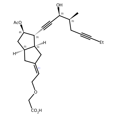 CCC#CC[C@H](C)[C@H](O)C#C[C@@H]1[C@H]2C/C(=C/COCC(=O)O)C[C@H]2C[C@H]1OC(C)=O